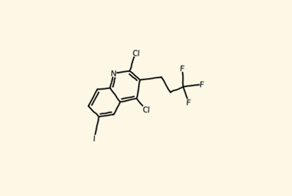 FC(F)(F)CCc1c(Cl)nc2ccc(I)cc2c1Cl